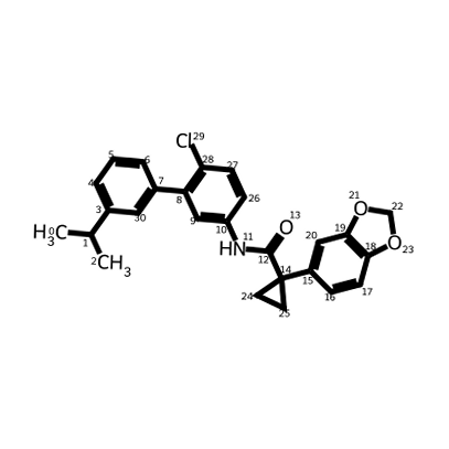 CC(C)c1cccc(-c2cc(NC(=O)C3(c4ccc5c(c4)OCO5)CC3)ccc2Cl)c1